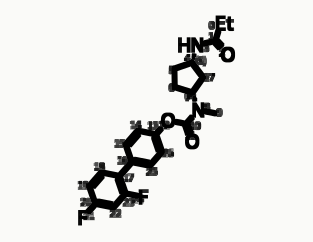 CCC(=O)N[C@H]1CC[C@@H](N(C)C(=O)Oc2ccc(-c3ccc(F)cc3F)cc2)C1